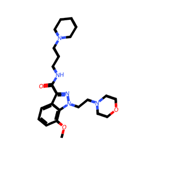 COc1cccc2c(C(=O)NCCCN3CCCCC3)nn(CCN3CCOCC3)c12